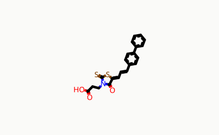 O=C(O)CCN1C(=O)C(=CC=Cc2ccc(-c3ccccc3)cc2)SC1=S